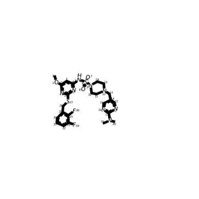 COc1cc(NS(=O)(=O)N2CCN(Cc3cnc(N(C)C)nc3)CC2)nc(SCc2cccc(F)c2F)n1